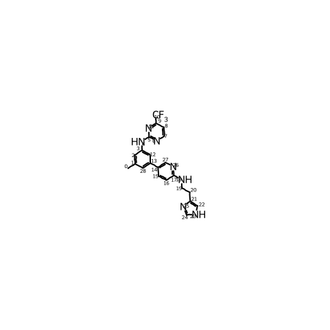 Cc1cc(Nc2nccc(C(F)(F)F)n2)cc(-c2ccc(NCCc3c[nH]cn3)nc2)c1